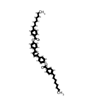 CCCCCCCCc1ccc(C(=O)Oc2ccc(-c3ccc(-c4ccc(OC(=O)c5ccc(CCCCCCCC)cc5)cc4)s3)cc2)cc1